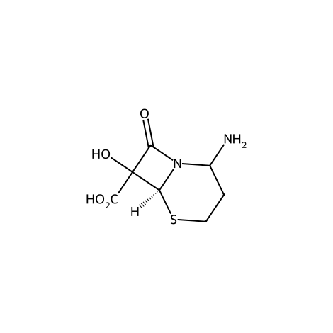 NC1CCS[C@@H]2N1C(=O)C2(O)C(=O)O